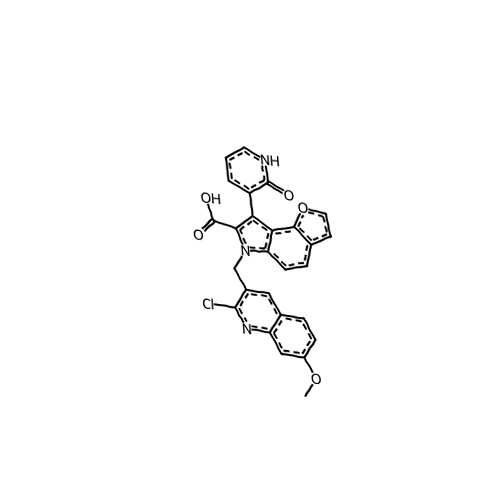 COc1ccc2cc(Cn3c(C(=O)O)c(-c4ccc[nH]c4=O)c4c5occc5ccc43)c(Cl)nc2c1